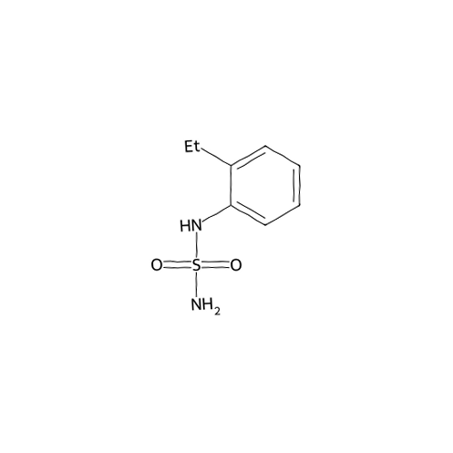 CCc1ccccc1NS(N)(=O)=O